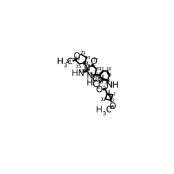 COC12CC(C(=O)Nc3cccc([C@]4(C)CC(=O)N([C@@H]5CCO[C@H](C)C5)C(=N)N4)c3Cl)(C1)C2